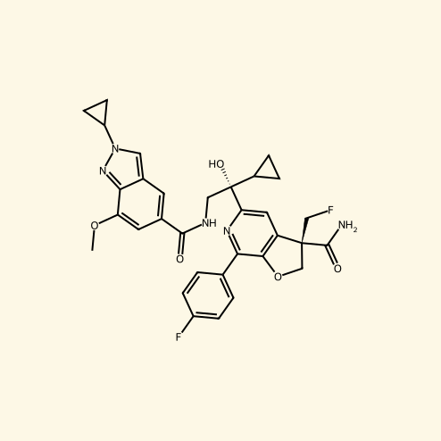 COc1cc(C(=O)NC[C@](O)(c2cc3c(c(-c4ccc(F)cc4)n2)OC[C@@]3(CF)C(N)=O)C2CC2)cc2cn(C3CC3)nc12